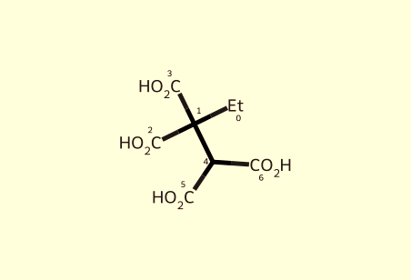 CCC(C(=O)O)(C(=O)O)C(C(=O)O)C(=O)O